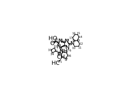 C#C[C@H]1CC[C@H](Cn2c(N3CCCC4CCCCC43)nc3nc(C(=O)O)nc(N[C@H](C)C4CCC4)c32)CC1